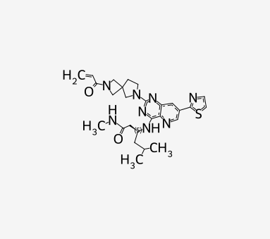 C=CC(=O)N1CC2(CCN(c3nc(N[C@H](CC(=O)NC)CC(C)C)c4ncc(-c5nccs5)cc4n3)C2)C1